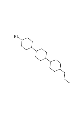 CCC1CCC(C2CCC(C3CCC(CCF)CC3)CC2)CC1